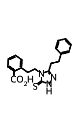 O=C(O)c1ccccc1CCn1c(CCc2ccccc2)n[nH]c1=S